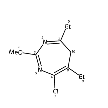 CCC1=NC(OC)=NC(Cl)=C(CC)C1